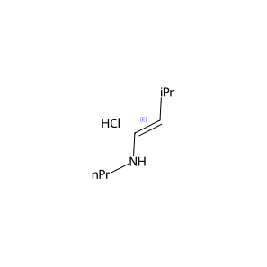 CCCN/C=C/C(C)C.Cl